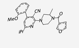 COc1ccccc1-c1cc(C(C)C)nc(N2CCN(C(=O)c3ccoc3)C(C)C2)c1C#N